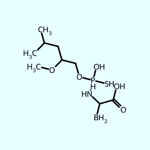 BC(N[PH](O)(S)OCC(CC(C)C)OC)C(=O)O